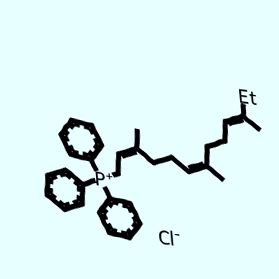 CCC(C)=CCCC(C)=CCCC(C)=CC[P+](c1ccccc1)(c1ccccc1)c1ccccc1.[Cl-]